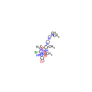 COc1cc(N2CCC(N3CCC(N(C)C)C3)CC2)c(C)cc1Nc1ncc(Br)c(Nc2cc3c(cc2NS(C)(=O)=O)CCO3)n1